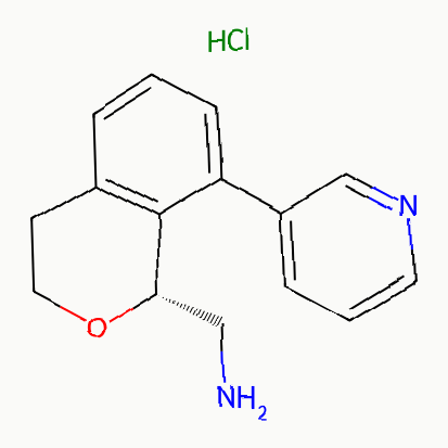 Cl.NC[C@@H]1OCCc2cccc(-c3cccnc3)c21